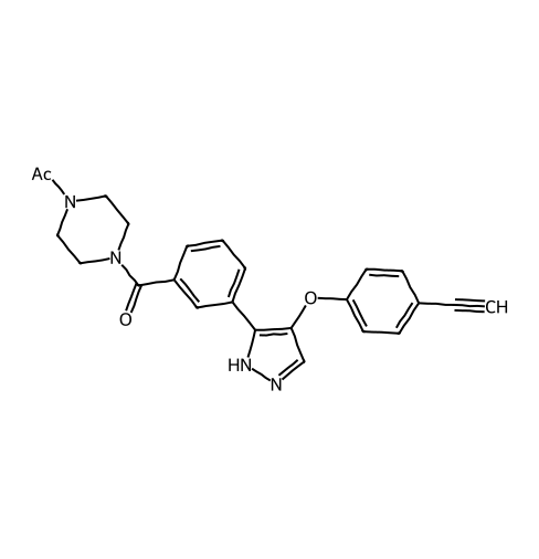 C#Cc1ccc(Oc2cn[nH]c2-c2cccc(C(=O)N3CCN(C(C)=O)CC3)c2)cc1